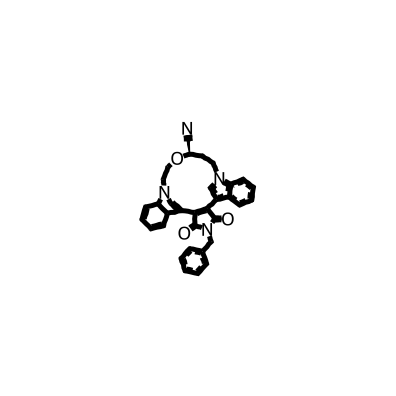 N#C[C@H]1CCn2cc(c3ccccc32)C2=C(C(=O)N(Cc3ccccc3)C2=O)C2=CN(CCO1)C1C=CC=CC21